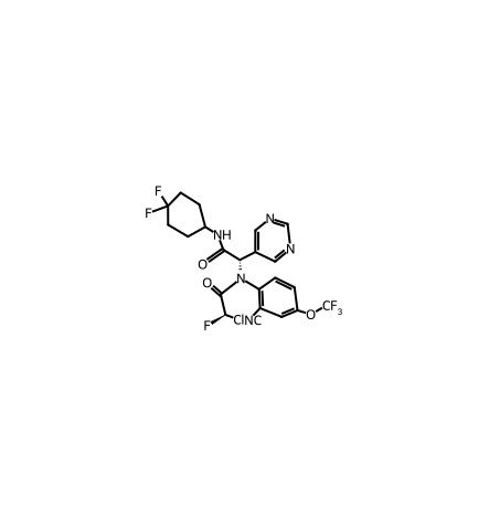 N#Cc1cc(OC(F)(F)F)ccc1N(C(=O)[C@H](F)Cl)[C@H](C(=O)NC1CCC(F)(F)CC1)c1cncnc1